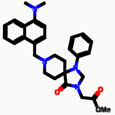 COC(=O)CN1CN(c2ccccc2)C2(CCN(Cc3ccc(N(C)C)c4ccccc34)CC2)C1=O